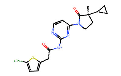 C[C@@]1(C2CC2)CCN(c2ccnc(NC(=O)Cc3ccc(Cl)s3)n2)C1=O